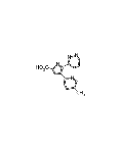 Cc1ccc(-c2cc(C(=O)O)nn2-c2cccnn2)nc1